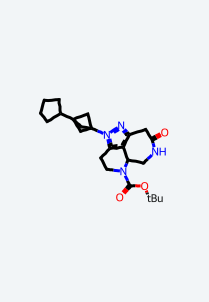 CC(C)(C)OC(=O)N1CCc2c3c(nn2C24CC(C5CCCC5)(C2)C4)CC(=O)NCC31